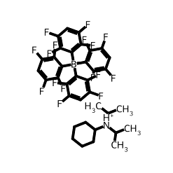 CC(C)[NH+](C(C)C)C1CCCCC1.Fc1cc(F)c(F)c([B-](c2c(F)c(F)cc(F)c2F)(c2c(F)c(F)cc(F)c2F)c2c(F)c(F)cc(F)c2F)c1F